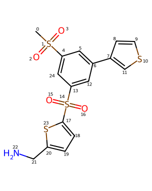 CS(=O)(=O)c1cc(-c2ccsc2)cc(S(=O)(=O)c2ccc(CN)s2)c1